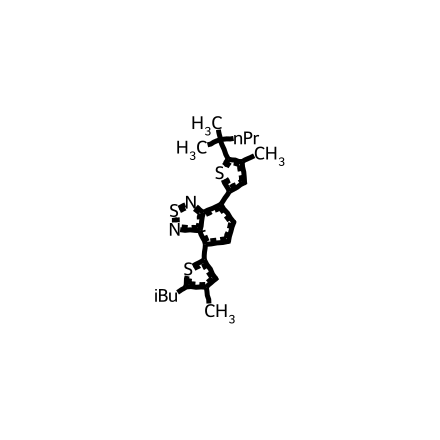 CCCC(C)(C)c1sc(-c2ccc(-c3cc(C)c(C(C)CC)s3)c3nsnc23)cc1C